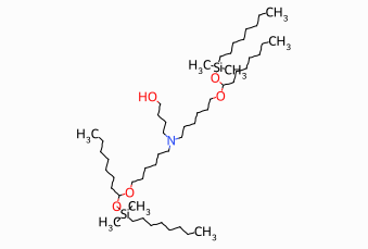 CCCCCCCC[Si](C)(C)OC(CCCCCCC)OCCCCCCN(CCCCO)CCCCCCOC(CCCCCCC)O[Si](C)(C)CCCCCCCC